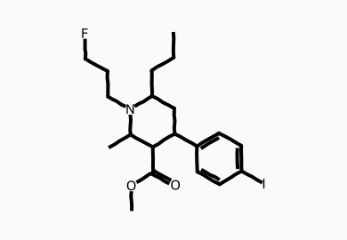 CCCC1CC(c2ccc(I)cc2)C(C(=O)OC)C(C)N1CCCF